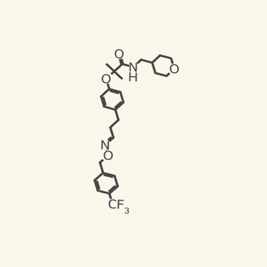 CC(C)(Oc1ccc(CCC=NOCc2ccc(C(F)(F)F)cc2)cc1)C(=O)NCC1CCOCC1